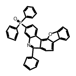 O=P(c1ccccc1)(c1ccccc1)c1ccc2c(c1)nc(-c1ccccc1)c1ccc3c4ccccc4oc3c12